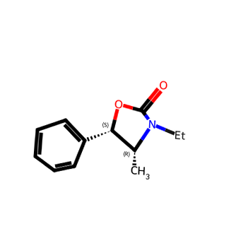 CCN1C(=O)O[C@@H](c2ccccc2)[C@H]1C